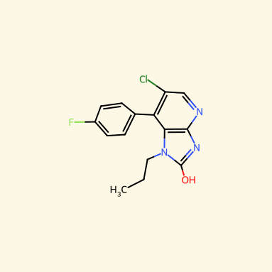 CCCn1c(O)nc2ncc(Cl)c(-c3ccc(F)cc3)c21